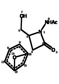 CC(=O)NN1C(=O)CC1CO.c1cc2cc(c1)O2